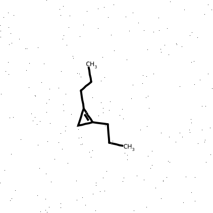 CCCC1=C(CCC)C1